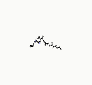 C=C/N=C(N)\C=C/N(C)C(C)C1C=C1CCC(=C)CCCCC